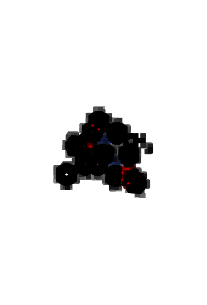 Cc1ccc(-c2ccccc2)c(N(c2cc(N(c3ccccc3-c3ccccc3)c3cccc4c3oc3ccccc34)c3ccc4cc(C5CCCCC5)cc5ccc2c3c45)c2cccc3c2oc2ccccc23)c1